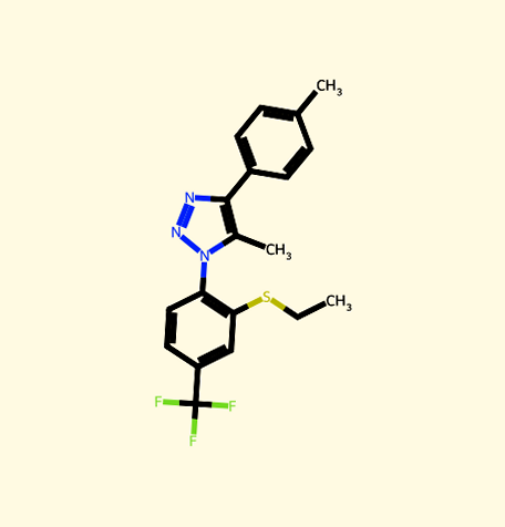 CCSc1cc(C(F)(F)F)ccc1-n1nnc(-c2ccc(C)cc2)c1C